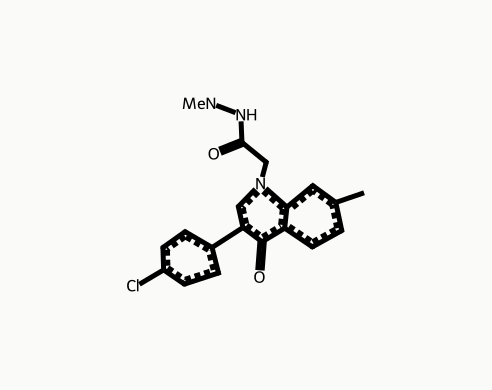 CNNC(=O)Cn1cc(-c2ccc(Cl)cc2)c(=O)c2ccc(C)cc21